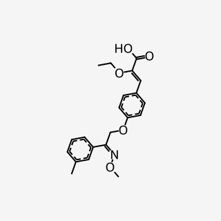 CCO/C(=C\c1ccc(OCC(=NOC)c2cccc(C)c2)cc1)C(=O)O